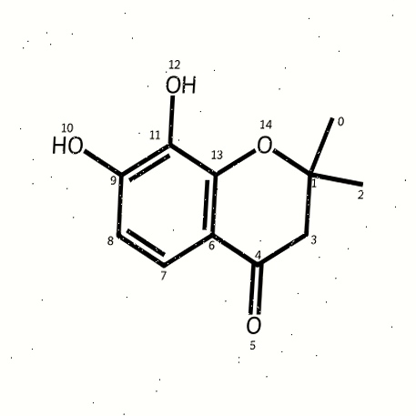 CC1(C)CC(=O)c2ccc(O)c(O)c2O1